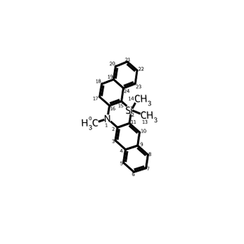 CN1c2cc3ccccc3cc2[Si](C)(C)c2c1ccc1ccccc21